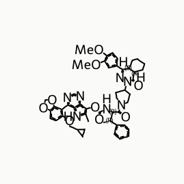 COc1ccc(C2=NN(C3CCN(C(=O)[C@H](NC(=O)Oc4c(C)[nH]c5c(-c6c(OCC7CC7)ccc7c6OCO7)ncnc45)[C@H](C)c4ccccc4)CC3)C(=O)[C@@H]3CCCC[C@H]23)cc1OC